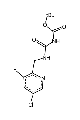 CC(C)(C)OC(=O)NC(=O)NCc1ncc(Cl)cc1F